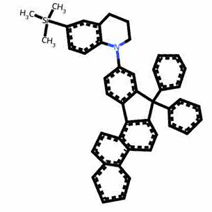 C[Si](C)(C)c1ccc2c(c1)CCCN2c1ccc2c(c1)C(c1ccccc1)(c1ccccc1)c1ccc3c(ccc4ccccc43)c1-2